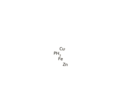 P.[Cu].[Fe].[Zn]